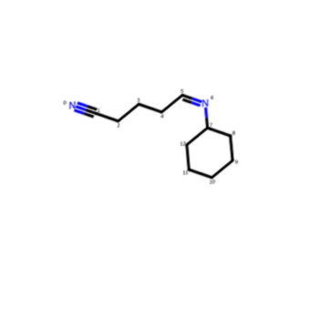 N#CCCC/C=N\C1CCCCC1